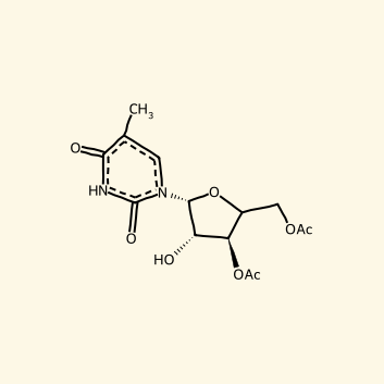 CC(=O)OCC1O[C@@H](n2cc(C)c(=O)[nH]c2=O)[C@@H](O)[C@@H]1OC(C)=O